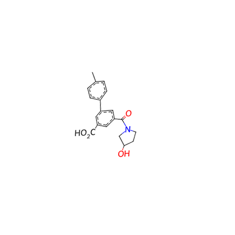 Cc1ccc(-c2cc(C(=O)O)cc(C(=O)N3CCC(O)C3)c2)cc1